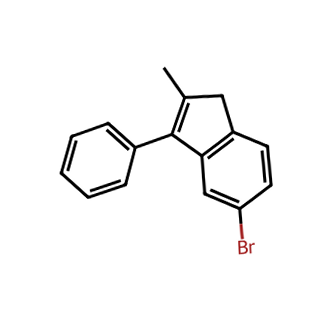 CC1=C(c2ccccc2)c2cc(Br)ccc2C1